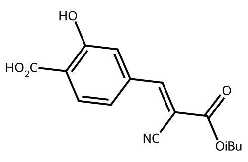 CC(C)COC(=O)/C(C#N)=C/c1ccc(C(=O)O)c(O)c1